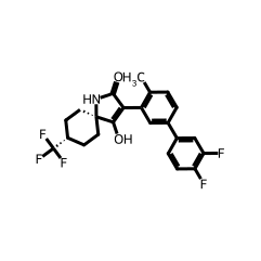 Cc1ccc(-c2ccc(F)c(F)c2)cc1C1=C(O)[C@]2(CC[C@@H](C(F)(F)F)CC2)NC1=O